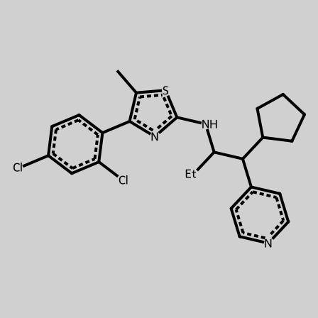 CCC(Nc1nc(-c2ccc(Cl)cc2Cl)c(C)s1)C(c1ccncc1)C1CCCC1